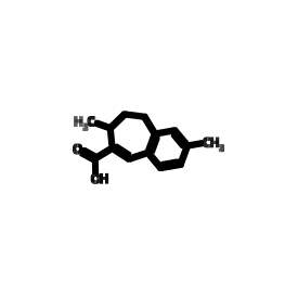 Cc1ccc2c(c1)CCC(C)C(C(=O)O)=C2